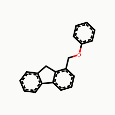 c1ccc(OCc2cccc3c2Cc2ccccc2-3)cc1